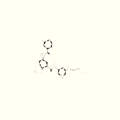 Cc1ccc(NC(=O)c2cccc(C(F)(F)F)c2)cc1C(=O)Nc1cncc(NCCO)c1